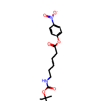 CC(C)(C)OC(=O)NCCCCCC(=O)Oc1ccc([N+](=O)[O-])cc1